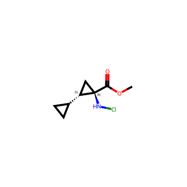 COC(=O)[C@@]1(NCl)C[C@H]1C1CC1